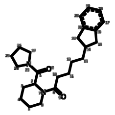 O=C(C1CCCCN1C(=O)CCCCC1Cc2ccccc2C1)N1CCCC1